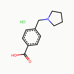 Cl.O=C(O)c1ccc(CN2CCCC2)cc1